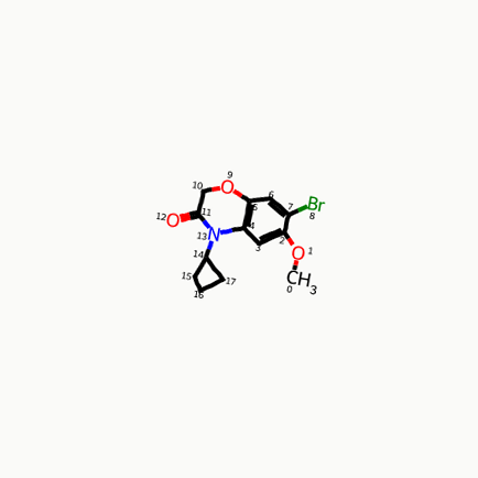 COc1cc2c(cc1Br)OCC(=O)N2C1CCC1